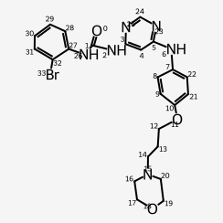 O=C(Nc1cc(Nc2ccc(OCCCN3CCOCC3)cc2)ncn1)Nc1ccccc1Br